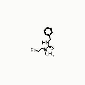 CN(CCBr)C(=S)NCc1ccccc1